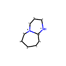 C1CCC2NCCCN2CC1